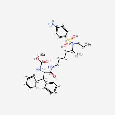 CCCCOC(=O)N[C@H](C(=O)NCCCCC(C=O)N(CCC(C)C)S(=O)(=O)c1ccc(N)cc1)C(c1ccccc1)c1ccccc1